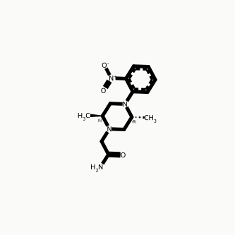 C[C@@H]1CN(CC(N)=O)[C@@H](C)CN1c1ccccc1[N+](=O)[O-]